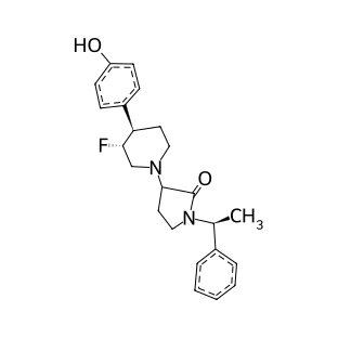 C[C@@H](c1ccccc1)N1CCC(N2CC[C@H](c3ccc(O)cc3)[C@@H](F)C2)C1=O